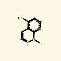 Cc1ccnc2c1C=C=NN2I